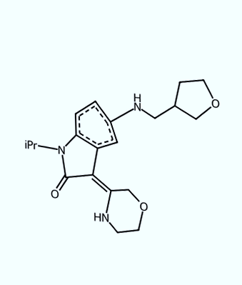 CC(C)N1C(=O)/C(=C2/COCCN2)c2cc(NCC3CCOC3)ccc21